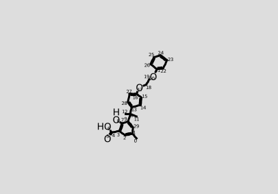 Cc1cc(C(=O)O)c(O)c(C(C)(C)c2ccc(OCCOc3ccccc3)cc2)c1